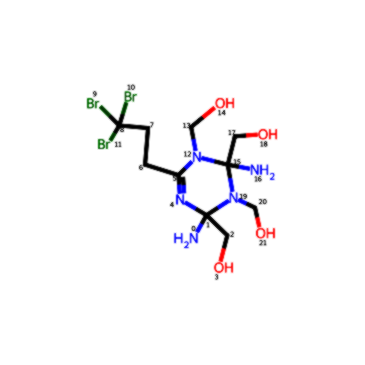 NC1(CO)N=C(CCC(Br)(Br)Br)N(CO)C(N)(CO)N1CO